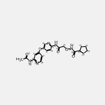 CC(=O)Nc1cc(Oc2ccc(NC(=O)CONC(=O)C3CCCC3)nc2)ccn1